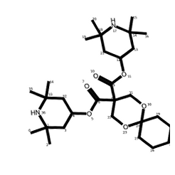 CC1(C)CC(OC(=O)C2(C(=O)OC3CC(C)(C)NC(C)(C)C3)COC3(CCCCC3)OC2)CC(C)(C)N1